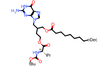 CCCCCCCCCCCCCCCCCC(=O)OCC(CCOC(=O)[C@@H](NC(=O)OC(C)(C)C)C(C)C)Cn1cnc2c(=O)[nH]c(N)nc21